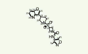 Cc1noc(C)c1NC(=O)N1CC(S(=O)(=O)N2CCC(c3coc4cccnc34)CC2)C1